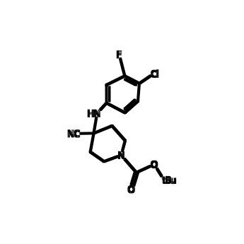 CC(C)(C)OC(=O)N1CCC(C#N)(Nc2ccc(Cl)c(F)c2)CC1